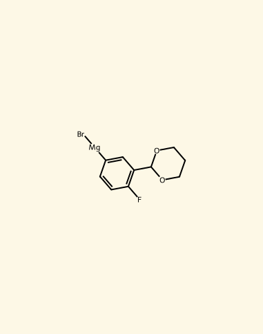 Fc1cc[c]([Mg][Br])cc1C1OCCCO1